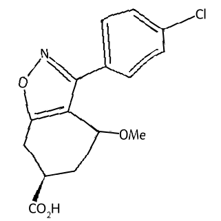 COC1C[C@@H](C(=O)O)Cc2onc(-c3ccc(Cl)cc3)c21